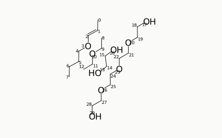 C/C=C/OCCCC.CCOCC.OCCO.OCCOCCOCCOCCO